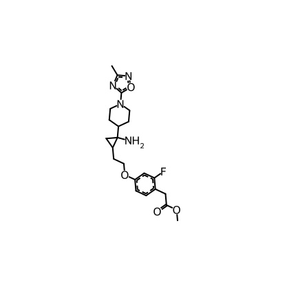 COC(=O)Cc1ccc(OCCC2CC2(N)C2CCN(c3nc(C)no3)CC2)cc1F